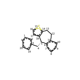 c1ccc(C[C@H]2c3ccccc3CCc3sccc32)cc1